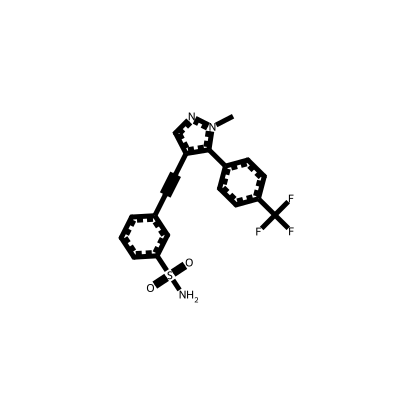 Cn1ncc(C#Cc2cccc(S(N)(=O)=O)c2)c1-c1ccc(C(F)(F)F)cc1